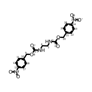 O=C(NCCNC(=O)OCc1ccc([N+](=O)[O-])cc1)OCc1ccc([N+](=O)[O-])cc1